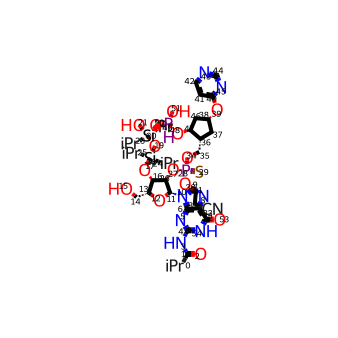 CC(C)C(=O)Nc1nc2c(ncn2[C@@H]2O[C@H](CO)[C@@H](O[Si](O[Si](O)(C(C)C)C(C)C)(C(C)C)C(C)C)[C@H]2O[P@](=S)(OCCC#N)OC[C@H]2C[C@@H](Oc3ccncn3)C[C@@H]2O[PH](=O)O)c(=O)[nH]1